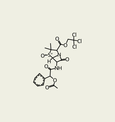 CC(=O)OC(C(=O)NC1C(=O)N2C(C(=O)OCC(Cl)(Cl)Cl)C(C)(C)[S+]([O-])[C@@H]12)c1ccccc1